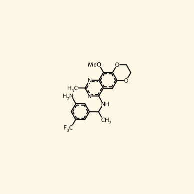 COc1c2c(cc3c(NC(C)c4cc(N)cc(C(F)(F)F)c4)nc(C)nc13)OCCO2